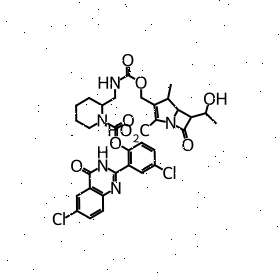 CC(O)C1C(=O)N2C(C(=O)O)=C(COC(=O)NCC3CCCCN3C(=O)Oc3ccc(Cl)cc3-c3nc4ccc(Cl)cc4c(=O)[nH]3)C(C)C12